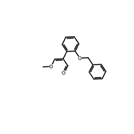 COC=C([C]=O)c1ccccc1OCc1ccccc1